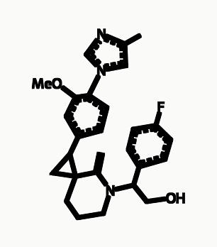 C=C1N(C(CO)c2ccc(F)cc2)CCCC12CC2c1ccc(-n2cnc(C)c2)c(OC)c1